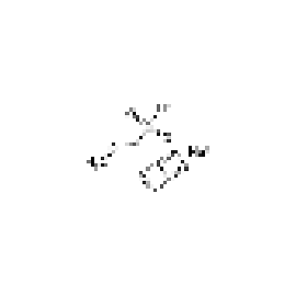 C=CCS(=O)(=O)[O-].[Na+].c1cc2ccc1-2